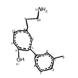 Cc1cccc(-c2cc(CCN)ccc2O)c1